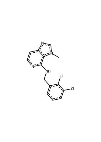 Cn1cnc2ccnc(NCc3cccc(Cl)c3Cl)c21